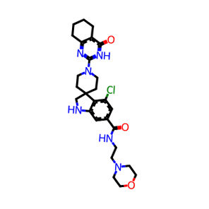 O=C(NCCN1CCOCC1)c1cc(Cl)c2c(c1)NCC21CCN(c2nc3c(c(=O)[nH]2)CCCC3)CC1